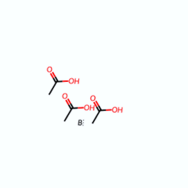 CC(=O)O.CC(=O)O.CC(=O)O.[B]